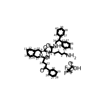 NCCCC[C@@H](NC(=O)[C@@H]1Cc2ccccc2CN1C(=O)CCC(=O)c1ccccc1)C(=O)NCC(c1ccccc1)c1ccccc1.O=C(O)C(F)(F)F